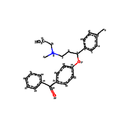 Cc1ccc(C(CCN(C)CC(=O)O)Oc2ccc(C(=O)c3ccccc3)cc2)cc1